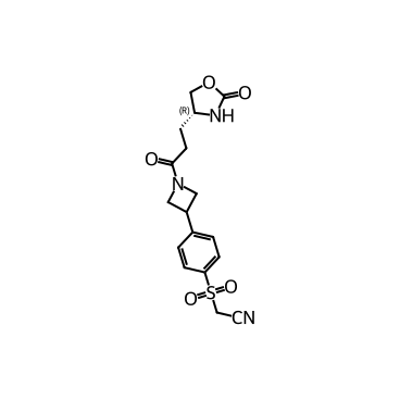 N#CCS(=O)(=O)c1ccc(C2CN(C(=O)CC[C@@H]3COC(=O)N3)C2)cc1